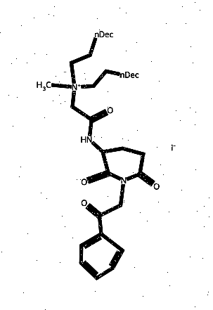 CCCCCCCCCCCC[N+](C)(CCCCCCCCCCCC)CC(=O)NC1CCC(=O)N(CC(=O)c2ccccc2)C1=O.[I-]